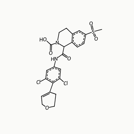 CS(=O)(=O)c1ccc2c(c1)CCN(C(=O)O)C2C(=O)Nc1cc(Cl)c(C2=CCOCC2)c(Cl)c1